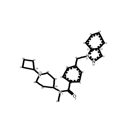 CN(C(=O)c1ccc(Cn2ncc3ccccc32)cc1)C1CCN(C2CCC2)CC1